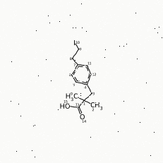 CC(C)(Cc1ccc(CCI)cc1)C(=O)O